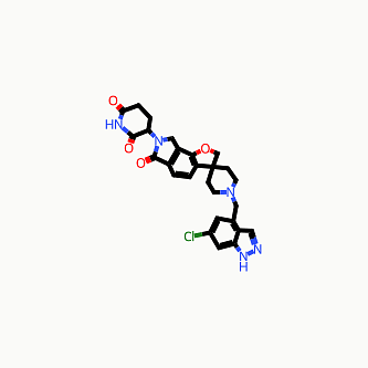 O=C1CCC(N2Cc3c(ccc4c3OCC43CCN(Cc4cc(Cl)cc5[nH]ncc45)CC3)C2=O)C(=O)N1